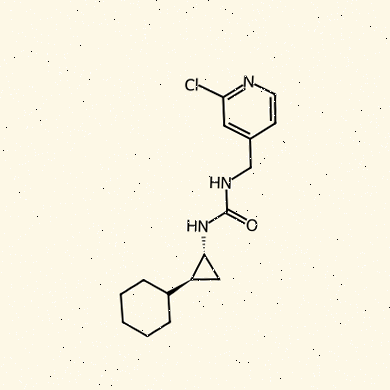 O=C(NCc1ccnc(Cl)c1)N[C@@H]1C[C@H]1C1CCCCC1